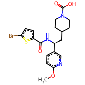 COc1ccc([C@H](CC2CCN(C(=O)O)CC2)NC(=O)c2ccc(Br)s2)cn1